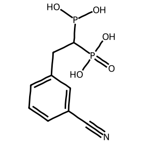 N#Cc1cccc(CC(P(O)O)P(=O)(O)O)c1